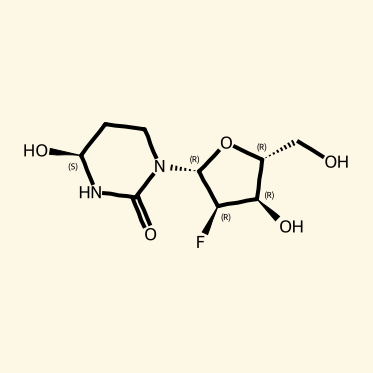 O=C1N[C@@H](O)CCN1[C@@H]1O[C@H](CO)[C@@H](O)[C@H]1F